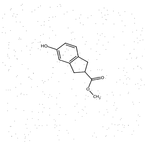 COC(=O)C1Cc2ccc(O)cc2C1